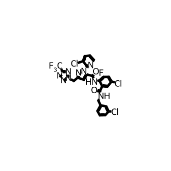 O=C(NCc1cccc(Cl)c1)c1cc(Cl)cc(F)c1NC(=O)c1cc(Cn2nnc(C(F)(F)F)n2)nn1-c1ncccc1Cl